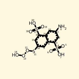 Nc1cc(S(=O)(=O)O)c2cc(SOOO)cc(S(=O)(=O)O)c2c1